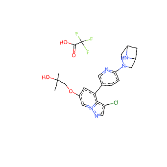 CC(C)(O)COc1cc(-c2ccc(N3CC4CC(C3)N4)nc2)c2c(Cl)cnn2c1.O=C(O)C(F)(F)F